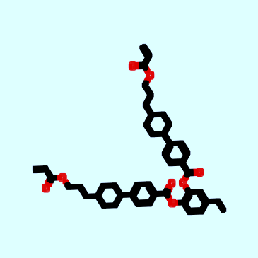 C=CC(=O)OCCCC1CCC(c2ccc(C(=O)Oc3ccc(CC)cc3OC(=O)c3ccc(C4CCC(CCCOC(=O)C=C)CC4)cc3)cc2)CC1